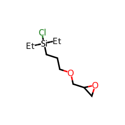 CC[Si](Cl)(CC)CCCOCC1CO1